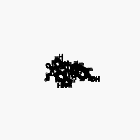 CCOC(=O)C1(c2cnc3[nH]ccc3c2N[C@H]2[C@@H]3CC4C[C@H]2C[C@@](O)(C4)C3)N=CNO1